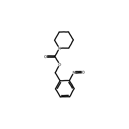 O=Nc1ccccc1COC(=O)N1CCCCC1